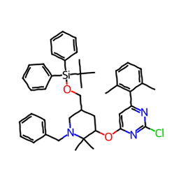 Cc1cccc(C)c1-c1cc(OC2CC(CO[Si](c3ccccc3)(c3ccccc3)C(C)(C)C)CN(Cc3ccccc3)C2(C)C)nc(Cl)n1